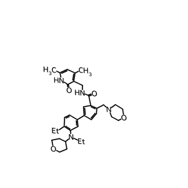 CCc1ccc(-c2ccc(CN3CCOCC3)c(C(=O)NCc3c(C)cc(C)[nH]c3=O)c2)cc1N(CC)C1CCOCC1